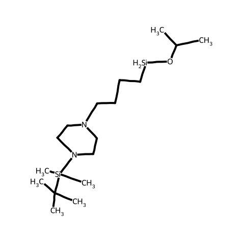 CC(C)O[SiH2]CCCCN1CCN([Si](C)(C)C(C)(C)C)CC1